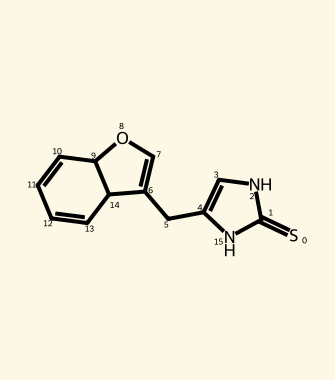 S=c1[nH]cc(CC2=COC3C=CC=CC23)[nH]1